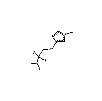 C[n+]1ccn(CCC(F)(F)C(F)F)c1